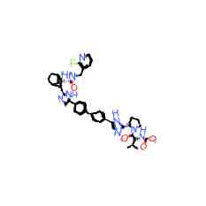 COC(=O)N[C@H](C(=O)N1CCC[C@H]1c1ncc(-c2ccc(-c3ccc(-c4cnc(C5C6CCC(C6)[C@@H]5C(=O)NCc5cccnc5F)[nH]4)cc3)cc2)[nH]1)C(C)C